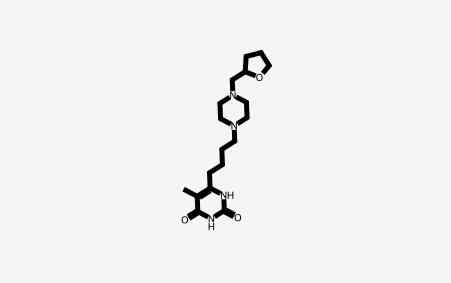 Cc1c(CCCCN2CCN(CC3CCCO3)CC2)[nH]c(=O)[nH]c1=O